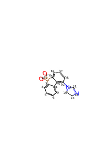 O=S1(=O)c2ccccc2-c2c(N3C=NCC3)cccc21